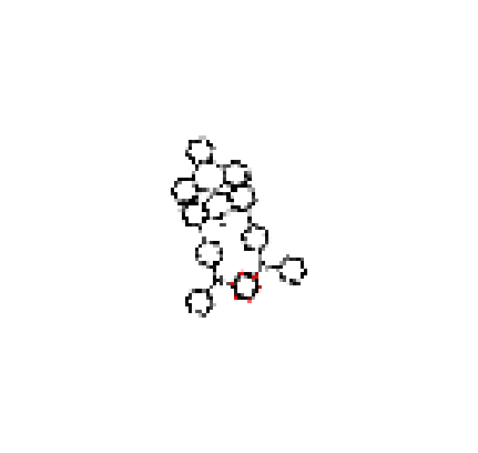 c1ccc(N(c2ccccc2)c2ccc(-c3cccc4c3Sc3c(-c5ccc(N(c6ccccc6)c6ccccc6)cc5)cccc3C43c4ccccc4-c4ccccc4-c4ccccc43)cc2)cc1